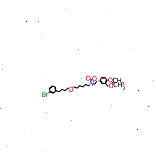 CC1(C)OCc2cc([C@@H]3CN(CCCCCCOCCCCc4cccc(Br)c4)C(=O)O3)ccc2O1